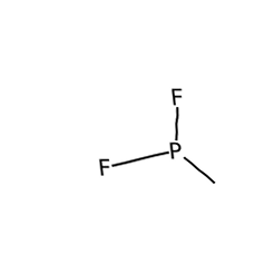 CP(F)F